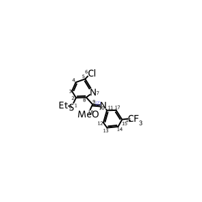 CCSc1ccc(Cl)nc1/C(=N/c1cccc(C(F)(F)F)c1)OC